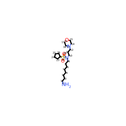 NCCCCCCCCN(CCCN1CCOCC1)S(=O)(=O)C1CCCC1